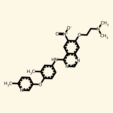 Cc1ccc(Oc2ccc(Nc3ncnc4cc(OCCN(C)C)c([N+](=O)[O-])cc34)cc2C)cn1